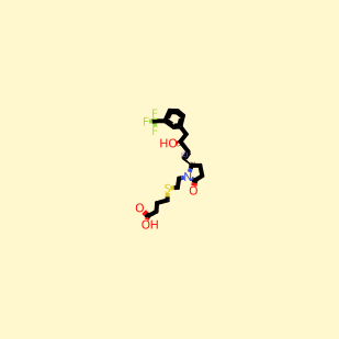 O=C(O)CCCSCCN1C(=O)CC[C@@H]1/C=C/[C@@H](O)Cc1cccc(C(F)(F)F)c1